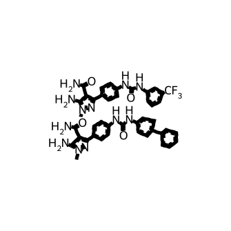 Cn1nc(-c2ccc(NC(=O)Nc3ccc(-c4ccccc4)cc3)cc2)c(C(N)=O)c1N.Cn1nc(-c2ccc(NC(=O)Nc3cccc(C(F)(F)F)c3)cc2)c(C(N)=O)c1N